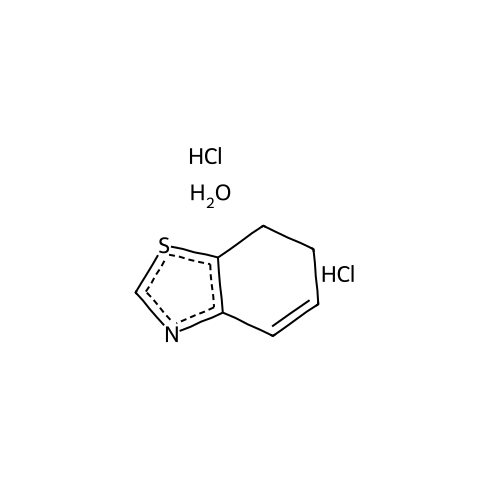 C1=Cc2ncsc2CC1.Cl.Cl.O